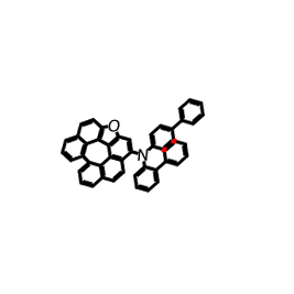 c1ccc(-c2ccc(N(c3ccccc3-c3ccccc3)c3cc4oc5ccc6cccc7c6c5c4c4c3ccc3cccc-7c34)cc2)cc1